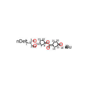 CCCCCCCCCCC[C@H]1CO[C@H](c2ccc(OC(=O)c3ccc(OC[C@@H](C)CC)cc3)cc2)OC1